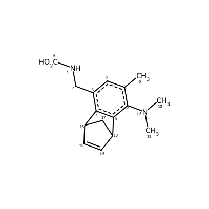 Cc1cc(CNC(=O)O)c2c(c1N(C)C)C1C=CC2C1